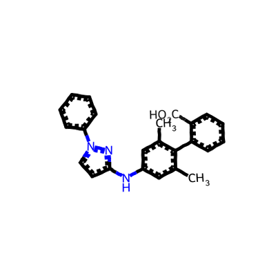 Cc1cc(Nc2ccn(-c3ccccc3)n2)cc(C)c1-c1ccccc1C(=O)O